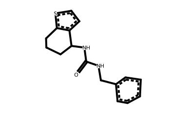 O=C(NCc1ccccc1)NC1CCCc2sccc21